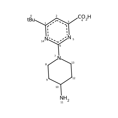 CC(C)(C)c1cc(C(=O)O)nc(N2CCC(N)CC2)n1